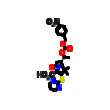 CC(OC(=O)OCc1ccc([N+](=O)[O-])cc1)[C@H]1C[N+]2([O-])C(C(=O)O)=C(Sc3ncccn3)C(C)(C)C12